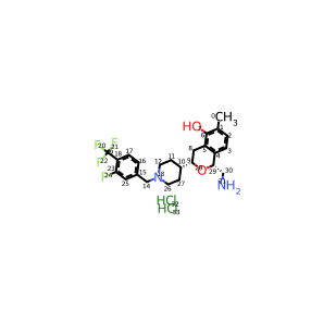 Cc1ccc2c(c1O)C[C@@H](C1CCN(Cc3ccc(C(F)(F)F)c(F)c3)CC1)O[C@H]2CN.Cl.Cl